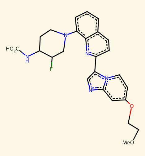 COCCOc1ccn2c(-c3ccc4cccc(N5CCC(NC(=O)O)C(F)C5)c4n3)cnc2c1